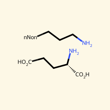 CCCCCCCCCCCCN.N[C@@H](CCC(=O)O)C(=O)O